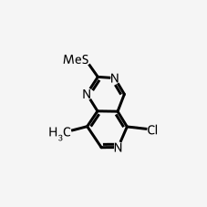 CSc1ncc2c(Cl)ncc(C)c2n1